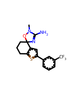 CN1OC2(CCCc3sc(-c4cccc(C(F)(F)F)c4)cc32)N=C1N